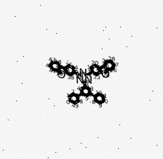 c1ccc(-c2cc(-c3ccccc3)cc(-c3nc(-c4ccc5c(c4)oc4ccccc45)nc(-c4ccc5c(c4)oc4ccccc45)n3)c2)cc1